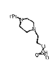 CCCN1CCN(CCO[SH](=O)=O)CC1